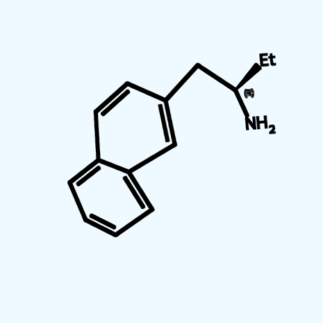 CC[C@@H](N)Cc1ccc2ccccc2c1